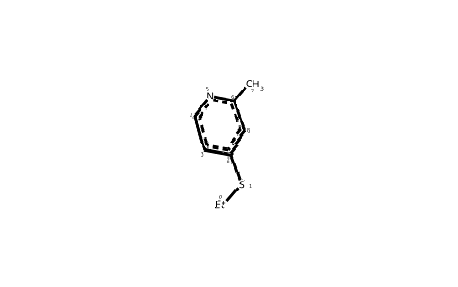 CCSc1ccnc(C)c1